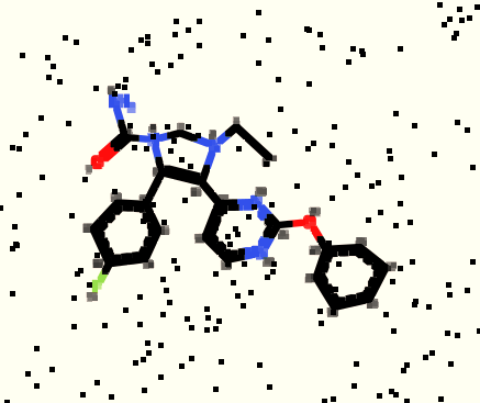 [CH2]CN1CN(C(N)=O)C(c2ccc(F)cc2)=C1c1ccnc(Oc2ccccc2)n1